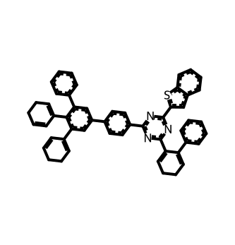 C1=CC(c2cc(-c3ccc(-c4nc(C5=CCCC=C5c5ccccc5)nc(-c5cc6ccccc6s5)n4)cc3)cc(-c3ccccc3)c2C2=CCCC=C2)=CCC1